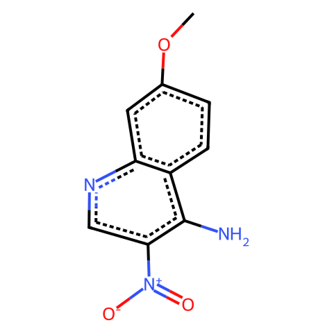 COc1ccc2c(N)c([N+](=O)[O-])cnc2c1